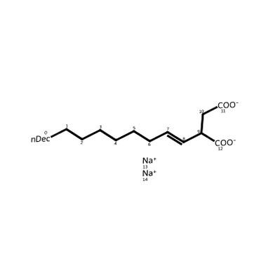 CCCCCCCCCCCCCCCCC=CC(CC(=O)[O-])C(=O)[O-].[Na+].[Na+]